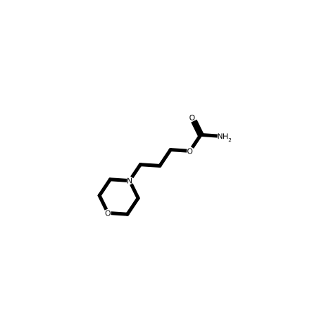 NC(=O)OCCCN1CCOCC1